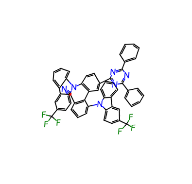 N#Cc1cccc(-n2c3ccccc3c3cc(C(F)(F)F)ccc32)c1-c1cc(-c2nc(-c3ccccc3)nc(-c3ccccc3)n2)ccc1-n1c2ccccc2c2cc(C(F)(F)F)ccc21